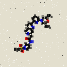 C[C@@H]1CN(c2cccc(-c3ccc4cnc(CC(=O)Nc5ccn(S(C)(=O)=O)c5)cc4n3)n2)C[C@H](C)O1